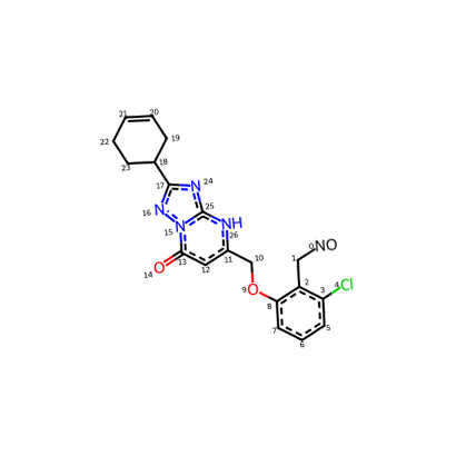 O=NCc1c(Cl)cccc1OCc1cc(=O)n2nc(C3CC=CCC3)nc2[nH]1